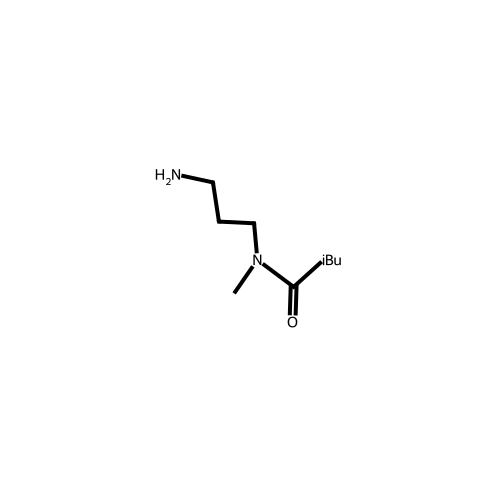 CCC(C)C(=O)N(C)CCCN